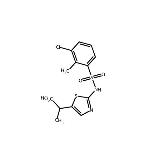 Cc1c(Cl)cccc1S(=O)(=O)Nc1ncc(C(C)C(=O)O)s1